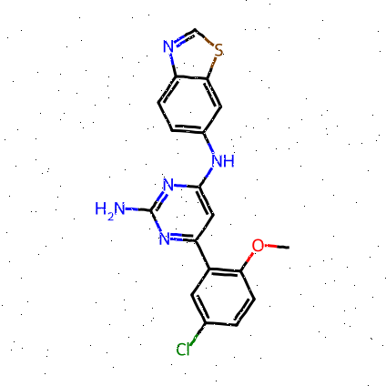 COc1ccc(Cl)cc1-c1cc(Nc2ccc3ncsc3c2)nc(N)n1